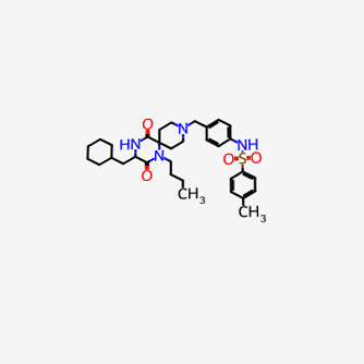 CCCCN1C(=O)C(CC2CCCCC2)NC(=O)C12CCN(Cc1ccc(NS(=O)(=O)c3ccc(C)cc3)cc1)CC2